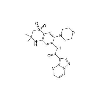 CC1(C)CS(=O)(=O)c2cc(N3CCOCC3)c(NC(=O)c3cnn4cccnc34)cc2N1